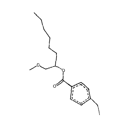 CCCCCCC(COC)OC(=O)c1ccc(CC)cc1